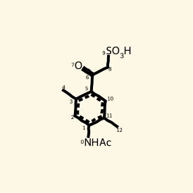 CC(=O)Nc1cc(C)c(C(=O)CS(=O)(=O)O)cc1C